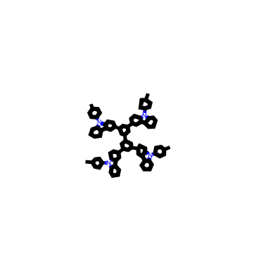 Cc1ccc(-n2c3ccccc3c3cc(-c4cc(-c5cc(-c6ccc7c(c6)c6ccccc6n7-c6ccc(C)cc6)cc(-c6ccc7c(c6)c6ccccc6n7-c6ccc(C)cc6)c5)cc(-c5ccc6c(c5)c5ccccc5n6-c5ccc(C)cc5)c4)ccc32)cc1